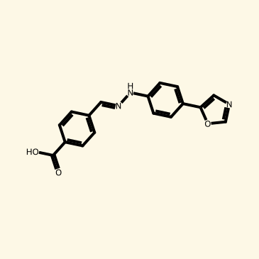 O=C(O)c1ccc(C=NNc2ccc(-c3cnco3)cc2)cc1